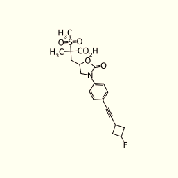 CC(CC1CN(c2ccc(C#CC3CC(F)C3)cc2)C(=O)O1)(C(=O)O)S(C)(=O)=O